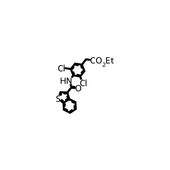 CCOC(=O)Cc1cc(Cl)c(NC(=O)c2csc3ccccc23)c(Cl)c1